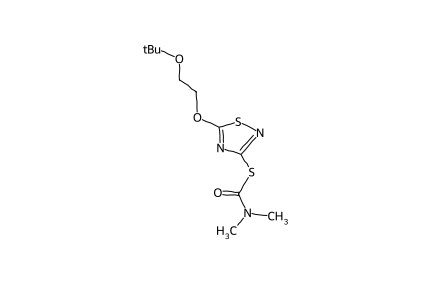 CN(C)C(=O)Sc1nsc(OCCOC(C)(C)C)n1